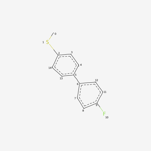 CSc1c[c]c(-c2ccc(F)cc2)cc1